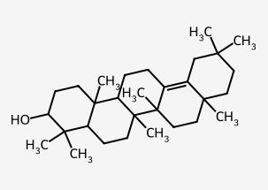 CC1(C)CCC2(C)CCC3(C)C(=C2C1)CCC1C2(C)CCC(O)C(C)(C)C2CCC13C